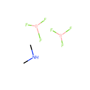 CNC.FB(F)F.FB(F)F